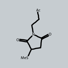 CSC1CC(=O)N(CCC(C)=O)C1=O